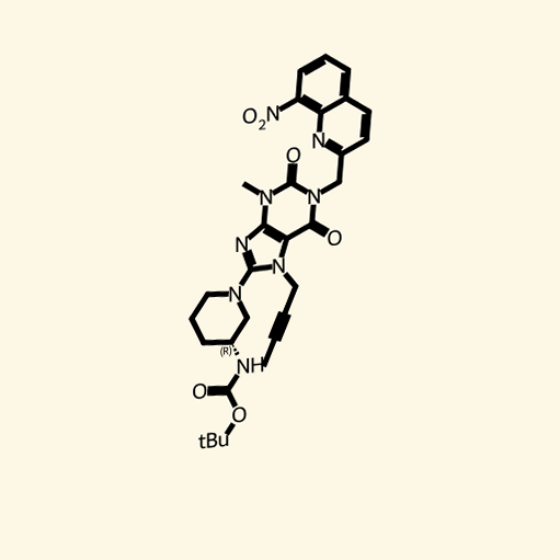 CC#CCn1c(N2CCC[C@@H](NC(=O)OC(C)(C)C)C2)nc2c1c(=O)n(Cc1ccc3cccc([N+](=O)[O-])c3n1)c(=O)n2C